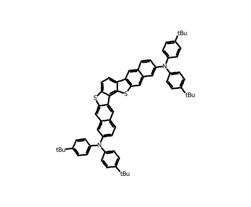 CC(C)(C)c1ccc(N(c2ccc(C(C)(C)C)cc2)c2ccc3cc4c(cc3c2)sc2c4ccc3sc4cc5cc(N(c6ccc(C(C)(C)C)cc6)c6ccc(C(C)(C)C)cc6)ccc5cc4c32)cc1